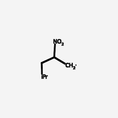 [CH2]C(CC(C)C)[N+](=O)[O-]